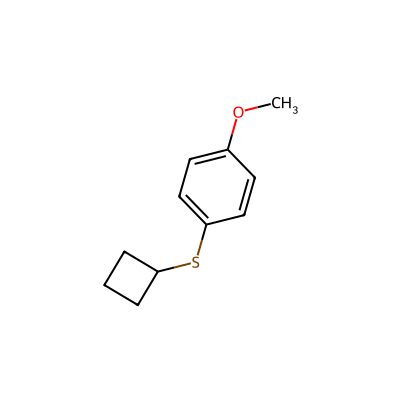 COc1ccc(SC2CCC2)cc1